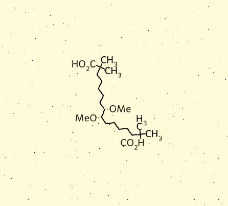 CO[C@@H](CCCCCC(C)(C)C(=O)O)[C@H](CCCCCC(C)(C)C(=O)O)OC